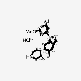 COc1nc(Cl)cc(-n2ncc3cc(C)c([C@H]4CCNC[C@H]4F)cc32)n1.Cl